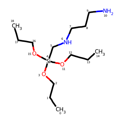 CCCO[Si](CNCCCN)(OCCC)OCCC